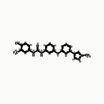 Cn1cc(-c2nccc(Oc3cccc(NC(=O)Nc4ccc(Cl)c(C(F)(F)F)c4)c3)n2)cn1